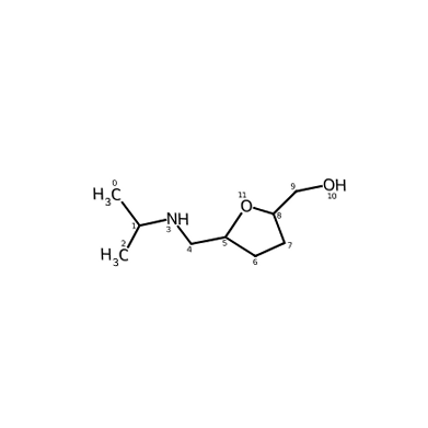 CC(C)NCC1CCC(CO)O1